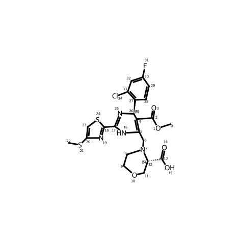 COC(=O)C1=C(CN2CCOC[C@H]2C(=O)O)NC(c2nc(SC)cs2)=N[C@H]1c1ccc(F)cc1Cl